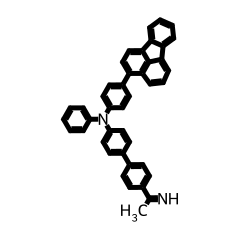 CC(=N)c1ccc(-c2ccc(N(c3ccccc3)c3ccc(-c4ccc5c6c(cccc46)-c4ccccc4-5)cc3)cc2)cc1